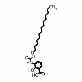 CCCCCCCCCCCCCCCOOC(=O)Nc1cccc(C(=O)O)c1O